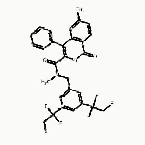 Cc1ccc2c(=O)oc(C(=O)N(C)Cc3cc(C(F)(F)CF)cc(C(F)(F)CF)c3)c(-c3ccccc3)c2c1